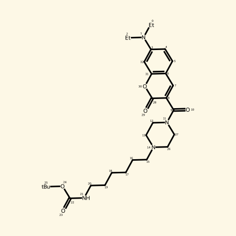 CCN(CC)c1ccc2cc(C(=O)N3CCN(CCCCCCNC(=O)OC(C)(C)C)CC3)c(=O)oc2c1